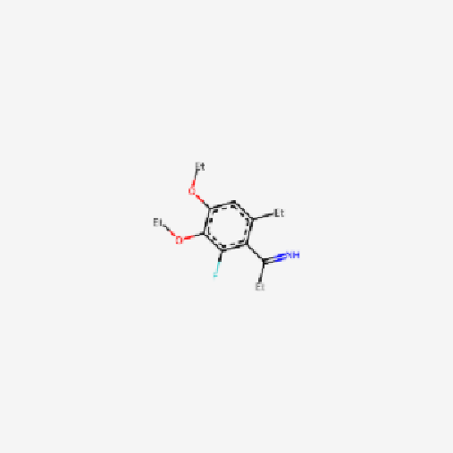 CCOc1cc(CC)c(C(=N)CC)c(F)c1OCC